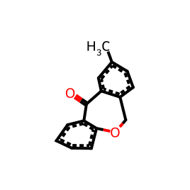 Cc1ccc2c(c1)C(=O)c1ccccc1OC2